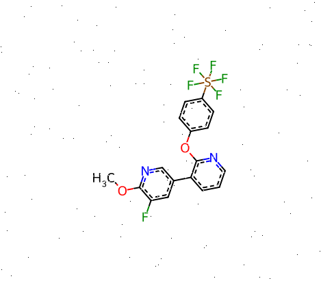 COc1ncc(-c2cccnc2Oc2ccc(S(F)(F)(F)(F)F)cc2)cc1F